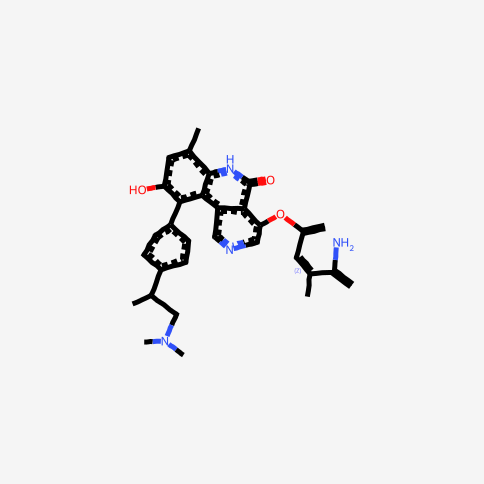 C=C(/C=C(/C)C(=C)N)Oc1cncc2c1c(=O)[nH]c1c(C)cc(O)c(-c3ccc(C(C)CN(C)C)cc3)c12